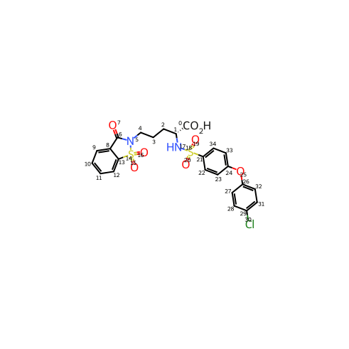 O=C(O)[C@@H](CCCN1C(=O)c2ccccc2S1(=O)=O)NS(=O)(=O)c1ccc(Oc2ccc(Cl)cc2)cc1